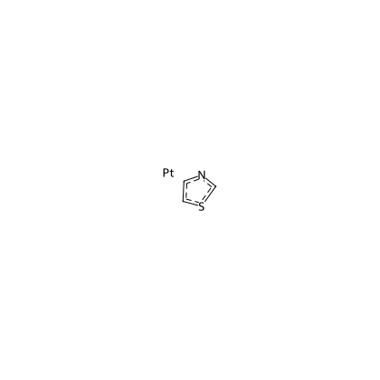 [Pt].c1cscn1